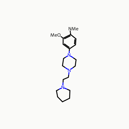 CNc1ccc(N2CCN(CCN3CCCCC3)CC2)cc1OC